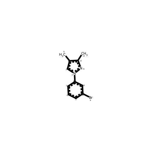 Cc1cn(-c2c[c]cc(Br)c2)nc1C